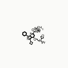 CC(C)N(CCOc1cc(C(=O)NS(C)(=O)=O)nc2c1c(C1CCC1)nn2-c1ccccc1)C1COC1